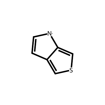 C1=Cc2cscc2[N]1